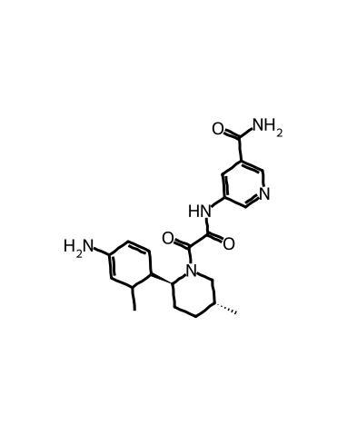 CC1C=C(N)C=CC1[C@@H]1CC[C@@H](C)CN1C(=O)C(=O)Nc1cncc(C(N)=O)c1